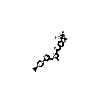 Cc1cc(C(F)=Cc2ccc(C(O)(C(F)(F)F)C(F)(F)F)cc2)nn1Cc1ccnc(N2CCN(C3CC3)CC2)c1